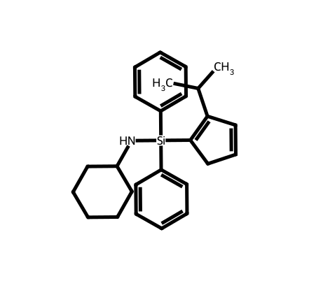 CC(C)C1=C([Si](NC2CCCCC2)(c2ccccc2)c2ccccc2)CC=C1